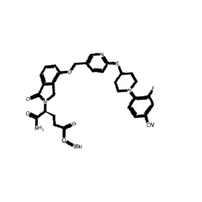 CC(C)(C)OC(=O)CC[C@@H](C(N)=O)N1Cc2c(OCc3ccc(SC4CCN(c5ccc(C#N)cc5F)CC4)nc3)cccc2C1=O